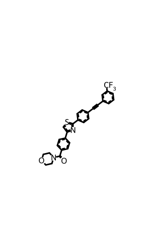 O=C(c1ccc(-c2csc(-c3ccc(C#Cc4cccc(C(F)(F)F)c4)cc3)n2)cc1)N1CCOCC1